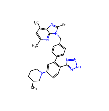 CCc1nc2c(C)cc(C)nc2n1Cc1ccc(-c2cc(N3CCC[C@H](C)C3)ccc2-c2nn[nH]n2)cc1